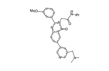 COc1cccc(-c2nc3ccc(-c4cncc(CN(C)C)c4)cc3c(=O)n2CC(=O)NC(C)C)c1